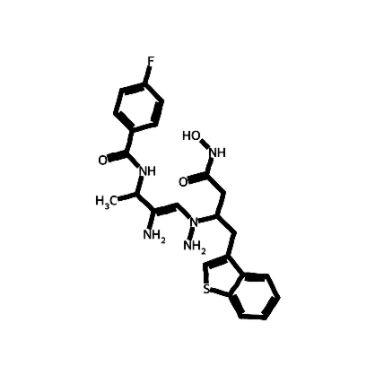 CC(NC(=O)c1ccc(F)cc1)/C(N)=C/N(N)C(CC(=O)NO)Cc1csc2ccccc12